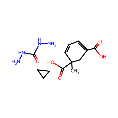 C1CC1.CC1(C(=O)O)C=CC=C(C(=O)O)C1.NNC(=O)NN